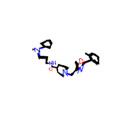 Cc1ccccc1-c1nc(CN2CCC(C(=O)NCCCN(C)C3=CC=CCC3)CC2)c(C)o1